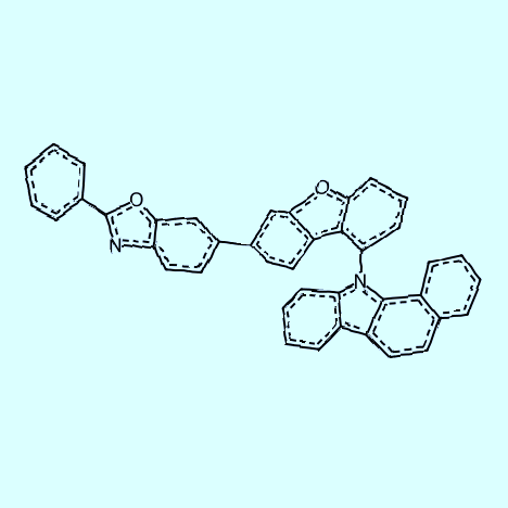 c1ccc(-c2nc3ccc(-c4ccc5c(c4)oc4cccc(-n6c7ccccc7c7ccc8ccccc8c76)c45)cc3o2)cc1